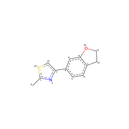 Cc1nc(-c2ccc3c(c2)OCC3)cs1